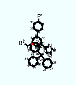 Fc1ccc(-c2cc(CBr)cc(-c3nnnn3C(c3ccccc3)(c3ccccc3)c3ccccc3)c2)cc1